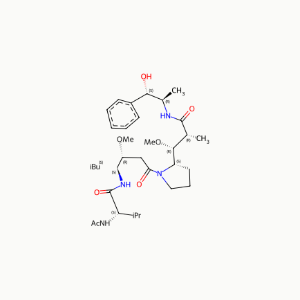 CC[C@H](C)[C@H](NC(=O)[C@@H](NC(C)=O)C(C)C)[C@@H](CC(=O)N1CCC[C@H]1[C@H](OC)[C@@H](C)C(=O)N[C@H](C)[C@@H](O)c1ccccc1)OC